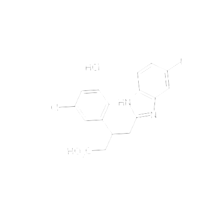 Cl.O=C(O)CC(Cc1nc2cc(I)ccc2[nH]1)c1cccc(Cl)c1